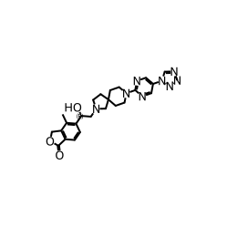 Cc1c([C@@H](O)CN2CCC3(CCN(c4ncc(-n5cnnn5)cn4)CC3)C2)ccc2c1COC2=O